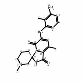 Cc1cc(Nc2ncnc(N)c2C)c(=O)n2c1C(=O)N[C@]21CCCN(C)C1